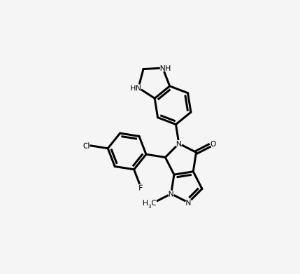 Cn1ncc2c1C(c1ccc(Cl)cc1F)N(c1ccc3c(c1)NCN3)C2=O